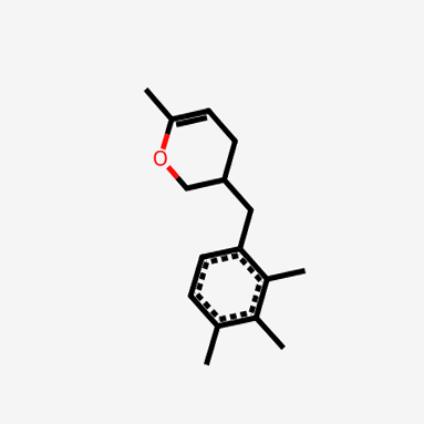 CC1=CCC(Cc2ccc(C)c(C)c2C)CO1